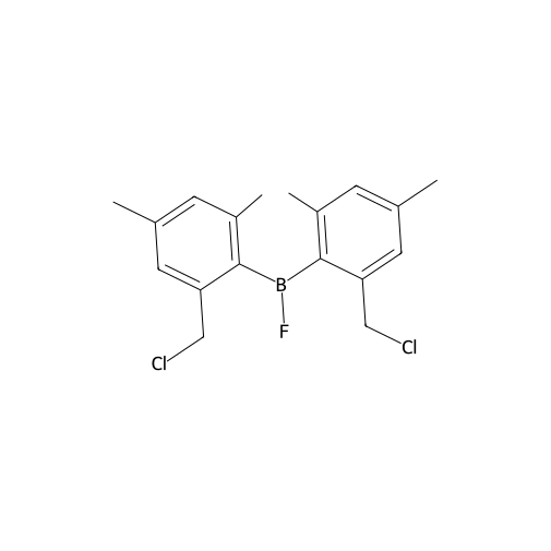 Cc1cc(C)c(B(F)c2c(C)cc(C)cc2CCl)c(CCl)c1